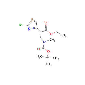 CCOC(=O)C(CN(C)C(=O)OC(C)(C)C)c1csc(Br)n1